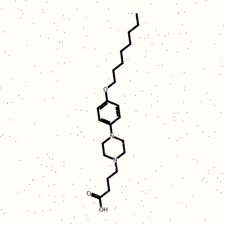 CCCCCCCCOc1ccc(N2CCN(CCCC(=O)O)CC2)cc1